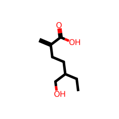 C=C(CCC(CC)CO)C(=O)O